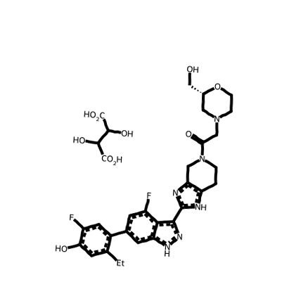 CCc1cc(O)c(F)cc1-c1cc(F)c2c(-c3nc4c([nH]3)CCN(C(=O)CN3CCO[C@@H](CO)C3)C4)n[nH]c2c1.O=C(O)C(O)C(O)C(=O)O